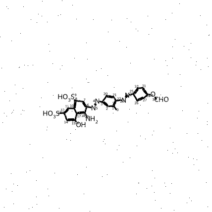 Cc1cc(/N=N/c2cc(S(=O)(=O)O)c3cc(S(=O)(=O)O)cc(O)c3c2N)ccc1/N=N/c1ccc(OC=O)cc1